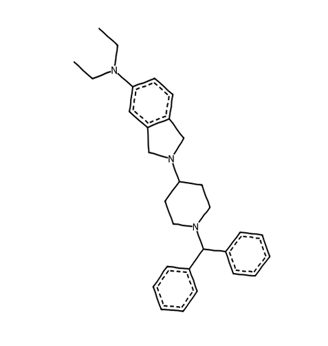 CCN(CC)c1ccc2c(c1)CN(C1CCN(C(c3ccccc3)c3ccccc3)CC1)C2